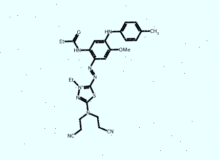 CCC(=O)Nc1cc(Nc2ccc(C)cc2)c(OC)cc1N=Nc1sc(N(CCC#N)CCC#N)n[n+]1CC